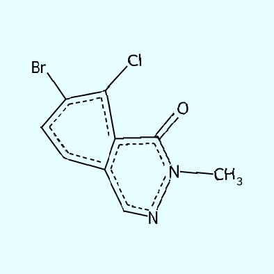 Cn1ncc2ccc(Br)c(Cl)c2c1=O